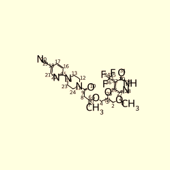 COC[C@@H](CO[C@H](C)CC(=O)N1CCN(c2ccc(C#N)cn2)CC1)Oc1cn[nH]c(=O)c1C(F)(F)F